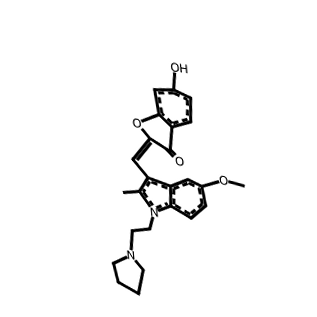 COc1ccc2c(c1)c(C=C1Oc3cc(O)ccc3C1=O)c(C)n2CCN1CCCC1